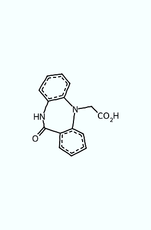 O=C(O)CN1c2ccccc2NC(=O)c2ccccc21